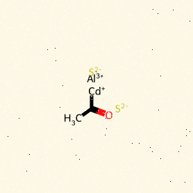 C[C](=O)[Cd+].[Al+3].[S-2].[S-2]